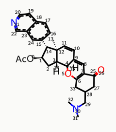 CC(=O)O[C@@H]1C[C@H]2[C@@H]3OC4=C(C=C3C=C[C@]2(C)[C@H]1c1ccc2ccncc2c1)C(=O)CC(CN(C)C)C4